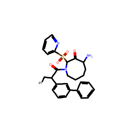 CC(C)CC(C(=O)N1CCCCC(N)C(=O)C1S(=O)(=O)c1ccccn1)c1cccc(-c2ccccc2)c1